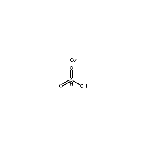 O=[SH](=O)O.[Co]